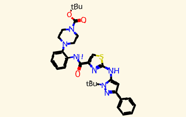 CC(C)(C)OC(=O)N1CCN(c2ccccc2NC(=O)c2csc(Nc3cc(-c4ccccc4)nn3C(C)(C)C)n2)CC1